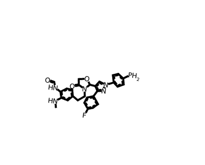 CNc1cc(CCN2C(=O)COC2c2cn(-c3ccc(P)cc3)nc2-c2ccc(F)cc2)ccc1NC=O